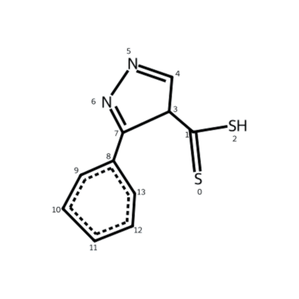 S=C(S)C1C=NN=C1c1ccccc1